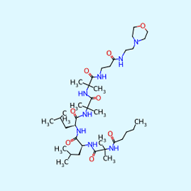 CCCCC(=O)NC(C)(C)C(=O)N[C@@H](CC(C)C)C(=O)N[C@@H](CC(C)C)C(=O)NC(C)(C)C(=O)NC(C)(C)C(=O)NCCC(=O)NCCN1CCOCC1